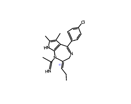 CC/C=C1\CN=C(c2ccc(Cl)cc2)c2c([nH]c(C)c2C)N1C(C)=N